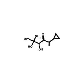 CCCC(N)(O)C(O)C(=O)NC1CC1